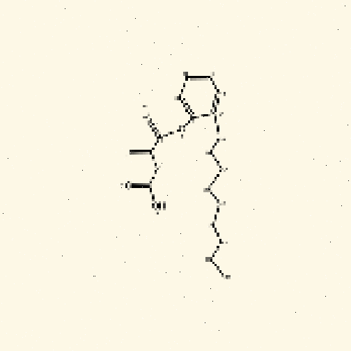 C=C(CC(=O)O)C(=O)Oc1ccccc1CCCCCCCCC